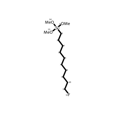 CO[Si](CCCCCCCCCCF)(OC)OC